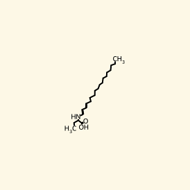 CCCCCCCCCCCCCCC=CC=CNC(CC)C(=O)O